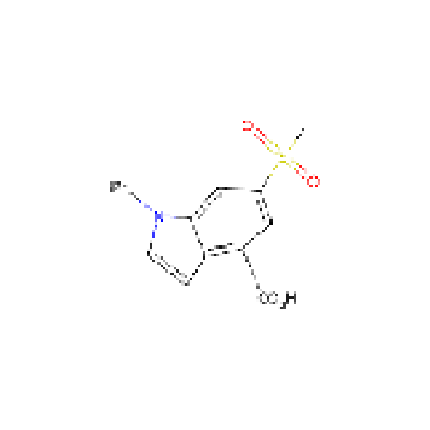 CC(C)n1ccc2c(C(=O)O)cc(S(C)(=O)=O)cc21